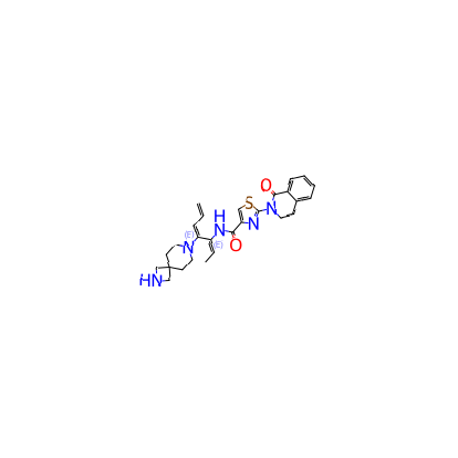 C=C/C=C(\C(=C/C)NC(=O)c1csc(N2CCc3ccccc3C2=O)n1)N1CCC2(CC1)CNC2